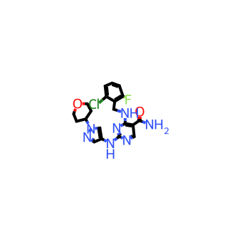 NC(=O)c1cnc(Nc2cnn(C3CCOCC3)c2)nc1NCc1c(F)cccc1Cl